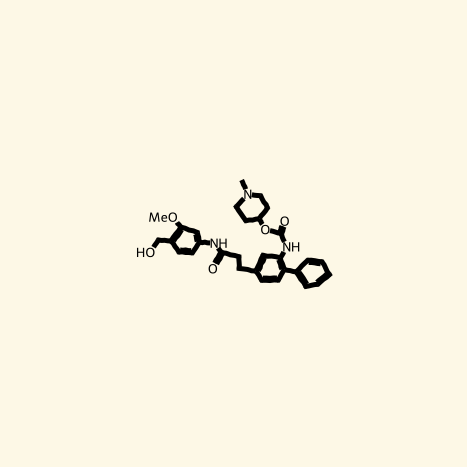 COc1cc(NC(=O)CCc2ccc(-c3ccccc3)c(NC(=O)OC3CCN(C)CC3)c2)ccc1CO